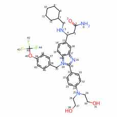 NC(=O)CC(NCC1CCCCC1)c1ccc2c(c1)nc(-c1ccc(N(CCO)CCO)cc1)n2Cc1ccc(OC(F)(F)F)cc1